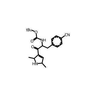 CC1C=C(C(=O)C(Cc2ccc(C#N)cc2)NC(=O)OC(C)(C)C)C(C)N1